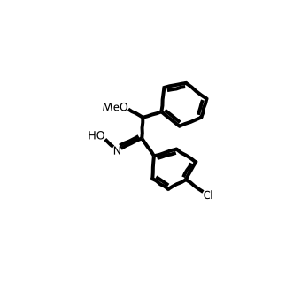 COC(C(=NO)c1ccc(Cl)cc1)c1ccccc1